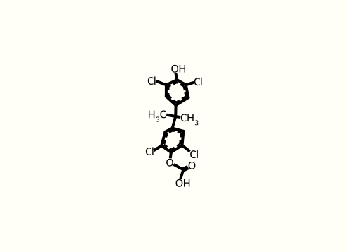 CC(C)(c1cc(Cl)c(O)c(Cl)c1)c1cc(Cl)c(OC(=O)O)c(Cl)c1